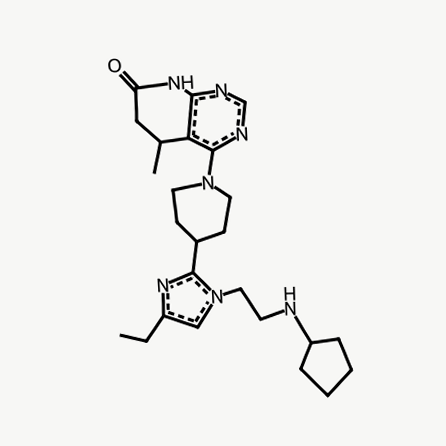 CCc1cn(CCNC2CCCC2)c(C2CCN(c3ncnc4c3C(C)CC(=O)N4)CC2)n1